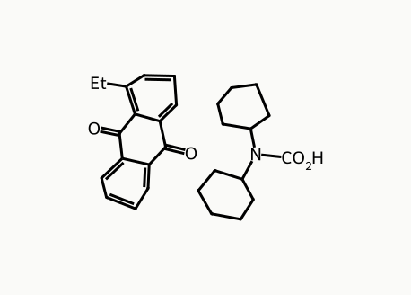 CCc1cccc2c1C(=O)c1ccccc1C2=O.O=C(O)N(C1CCCCC1)C1CCCCC1